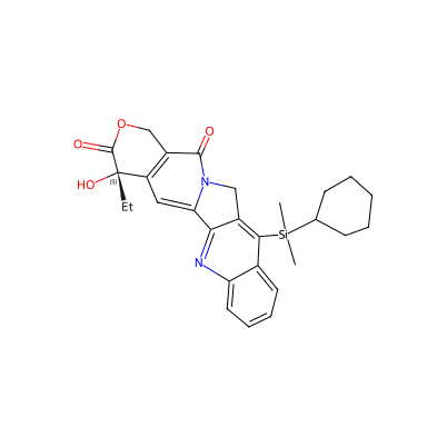 CC[C@@]1(O)C(=O)OCc2c1cc1n(c2=O)Cc2c-1nc1ccccc1c2[Si](C)(C)C1CCCCC1